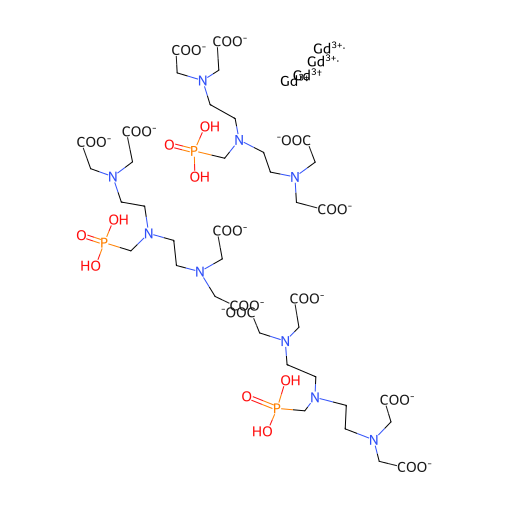 O=C([O-])CN(CCN(CCN(CC(=O)[O-])CC(=O)[O-])CP(=O)(O)O)CC(=O)[O-].O=C([O-])CN(CCN(CCN(CC(=O)[O-])CC(=O)[O-])CP(=O)(O)O)CC(=O)[O-].O=C([O-])CN(CCN(CCN(CC(=O)[O-])CC(=O)[O-])CP(=O)(O)O)CC(=O)[O-].[Gd+3].[Gd+3].[Gd+3].[Gd+3]